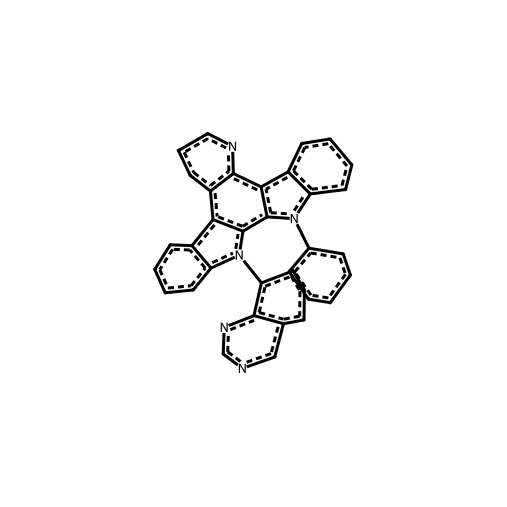 c1ccc(-n2c3ccccc3c3c4ncccc4c4c5ccccc5n(-c5cccc6cncnc56)c4c32)cc1